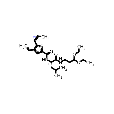 C=Cc1cc(C(=O)N[C@@H](CC(C)C)C(=O)NCCC(OCC)OCC)sc1/C=C\C